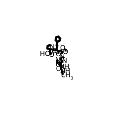 CCNC(=O)Nc1ncnc2c1ncn2C1OC(C(C#Cc2ccccc2)Oc2ncccc2C(=O)O)C2OCOC21